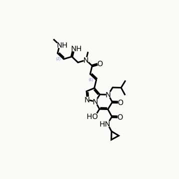 CN/C=C\C(=N)CN(C)C(=O)/C=C/c1cnn2c(O)c(C(=O)NC3CC3)c(=O)n(CC(C)C)c12